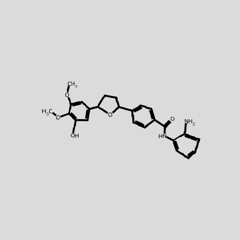 COc1cc(C2CCC(c3ccc(C(=O)Nc4ccccc4N)cc3)O2)cc(O)c1OC